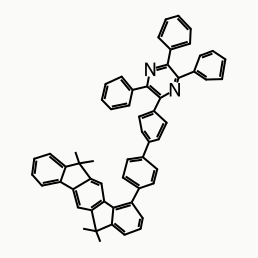 CC1(C)c2ccccc2-c2cc3c(cc21)-c1c(-c2ccc(-c4ccc(-c5nc(-c6ccccc6)c(-c6ccccc6)nc5-c5ccccc5)cc4)cc2)cccc1C3(C)C